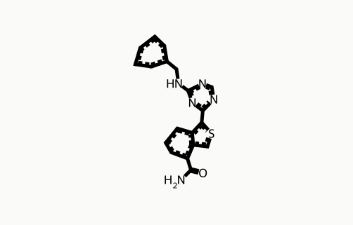 NC(=O)c1cccc2c(-c3ncnc(NCc4ccccc4)n3)scc12